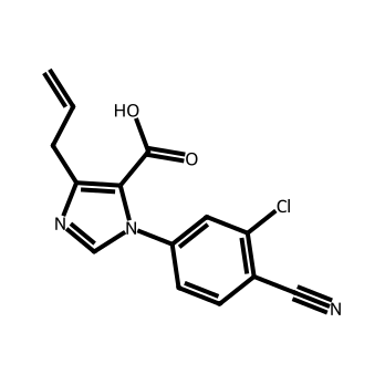 C=CCc1ncn(-c2ccc(C#N)c(Cl)c2)c1C(=O)O